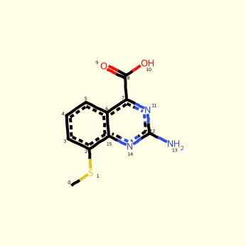 CSc1cccc2c(C(=O)O)nc(N)nc12